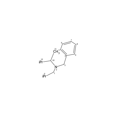 CC(C)CN(Cc1ccccc1)C(C)C(C)C